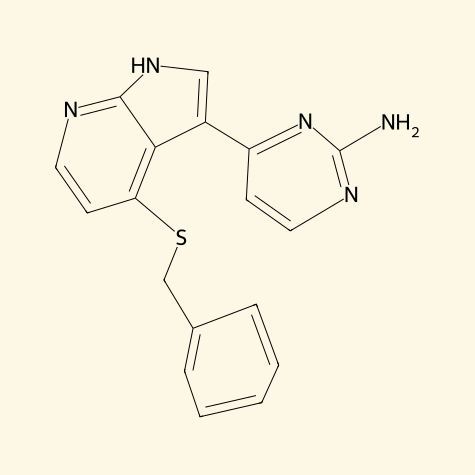 Nc1nccc(-c2c[nH]c3nccc(SCc4ccccc4)c23)n1